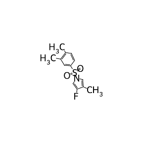 Cc1ccc(S(=O)(=O)n2cc(C)c(F)c2)cc1C